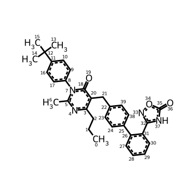 CCCc1nc(C)n(-c2ccc(C(C)(C)C)cc2)c(=O)c1Cc1ccc(-c2ccccc2-c2noc(=O)[nH]2)cc1